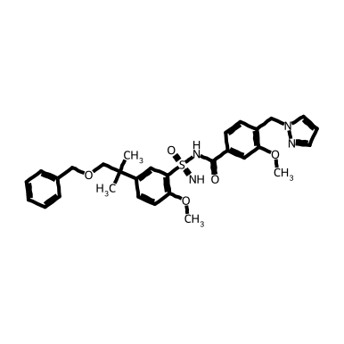 COc1cc(C(=O)NS(=N)(=O)c2cc(C(C)(C)COCc3ccccc3)ccc2OC)ccc1Cn1cccn1